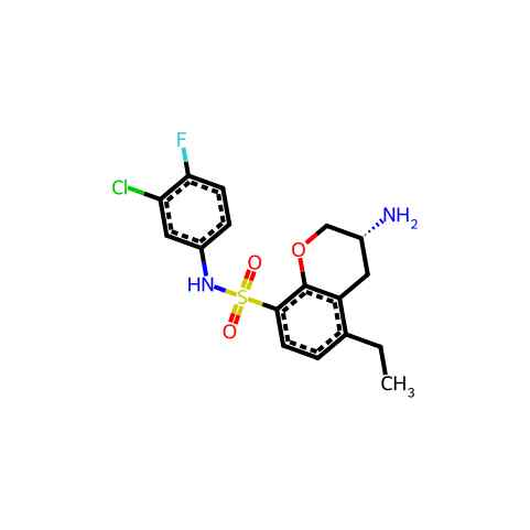 CCc1ccc(S(=O)(=O)Nc2ccc(F)c(Cl)c2)c2c1C[C@@H](N)CO2